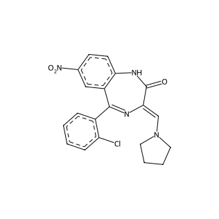 O=C1Nc2ccc([N+](=O)[O-])cc2C(c2ccccc2Cl)=NC1=CN1CCCC1